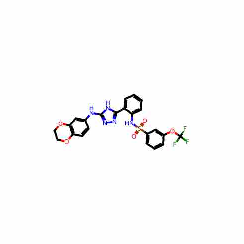 O=S(=O)(Nc1ccccc1-c1nnc(Nc2ccc3c(c2)OCCO3)[nH]1)c1cccc(OC(F)(F)F)c1